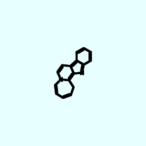 C1=CCc2c3nc4ccccc4c-3ccn2C=C1